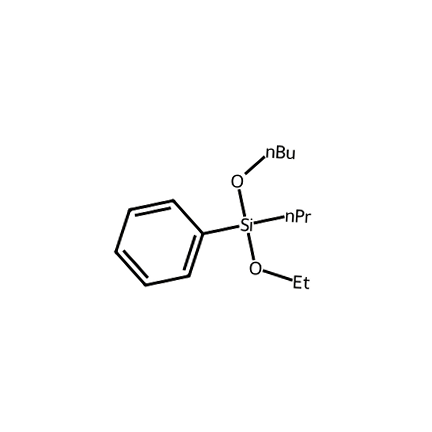 CCCCO[Si](CCC)(OCC)c1ccccc1